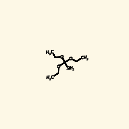 CCO[I]([SiH3])(OCC)OCC